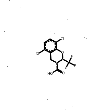 O=C(O)C1Cc2c(Cl)ccc(Cl)c2OC1C(F)(F)F